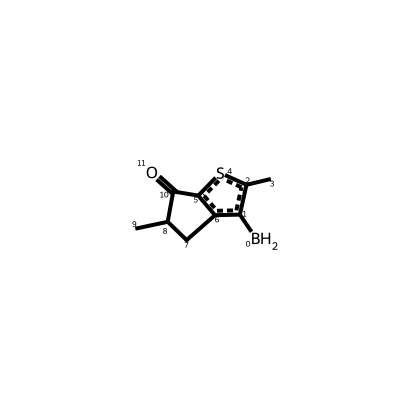 Bc1c(C)sc2c1CC(C)C2=O